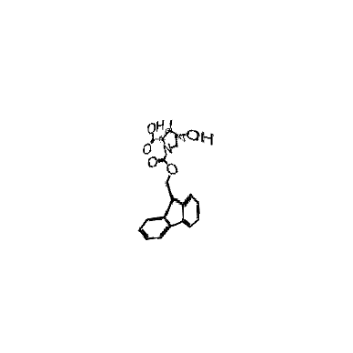 C[C@@H]1[C@@H](C(=O)O)N(C(=O)OCC2c3ccccc3-c3ccccc32)C[C@@H]1O